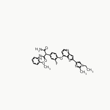 CCn1cc(-c2cc3nccc(Oc4ccc(C(C(N)=O)C(=O)Nc5ccccc5OC)cc4F)c3s2)nc1C